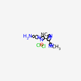 ClOCl.Cn1cc(-c2cc(-c3ccc(N4CCC5(CC4)CC(N)C5)nc3)c3c(C#N)cnn3c2)cn1